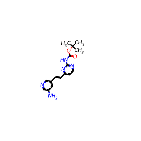 CC(C)(C)OC(=O)Nc1nccc(/C=C/c2cncc(N)c2)n1